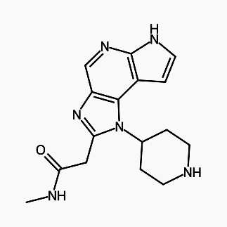 CNC(=O)Cc1nc2cnc3[nH]ccc3c2n1C1CCNCC1